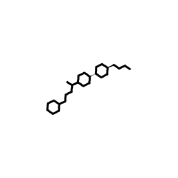 CCCC[C@H]1CC[C@H](C2CCC(C(C)CCCC3CCCCC3)CC2)CC1